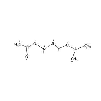 CC(=O)ONSCOC(C)C